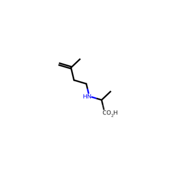 C=C(C)CCNC(C)C(=O)O